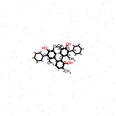 Cc1ccc(-c2cc(C)c(O)c(C3CCCCC3)c2C)c(-c2cc(C)c(O)c(C3CCCCC3)c2C)c1O